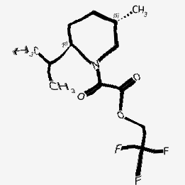 CC(C)[C@H]1CC[C@H](C)CN1C(=O)C(=O)OCC(F)(F)F